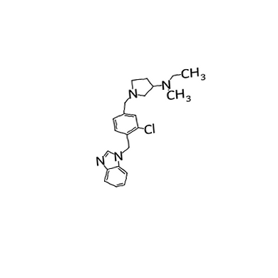 CCN(C)C1CCN(Cc2ccc(Cn3cnc4ccccc43)c(Cl)c2)C1